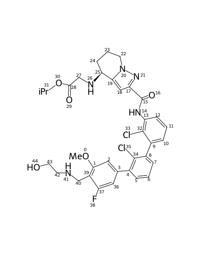 COc1cc(-c2cccc(-c3cccc(NC(=O)c4cc5n(n4)CCC[C@@H]5NCC(=O)OC(C)C)c3Cl)c2Cl)cc(F)c1CNCCO